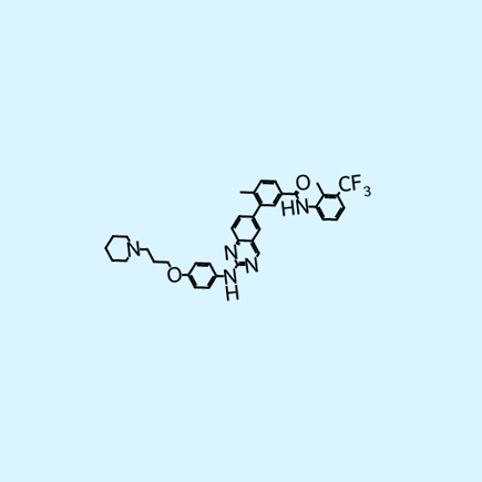 Cc1ccc(C(=O)Nc2cccc(C(F)(F)F)c2C)cc1-c1ccc2nc(Nc3ccc(OCCCN4CCCCC4)cc3)ncc2c1